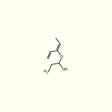 C=C/C(=C\C)OC(CP)CCC